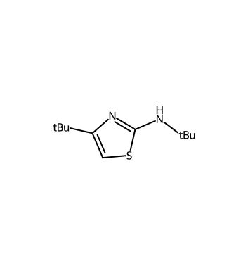 CC(C)(C)Nc1nc(C(C)(C)C)cs1